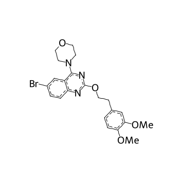 COc1ccc(CCOc2nc(N3CCOCC3)c3cc(Br)ccc3n2)cc1OC